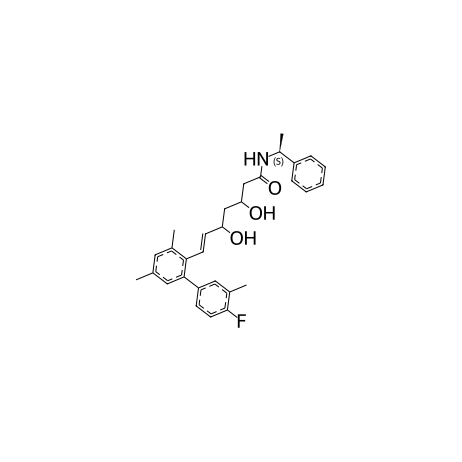 Cc1cc(C)c(C=CC(O)CC(O)CC(=O)N[C@@H](C)c2ccccc2)c(-c2ccc(F)c(C)c2)c1